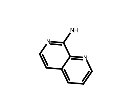 [NH]c1nccc2cccnc12